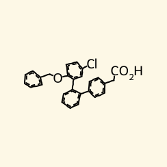 O=C(O)Cc1ccc(-c2ccccc2-c2cc(Cl)ccc2OCc2ccccc2)cc1